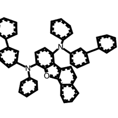 c1ccc(-c2cccc(N(c3ccccc3)c3ccc(N(c4ccccc4)c4cccc(-c5ccccc5)c4)c4c3oc3c5ccccc5ccc34)c2)cc1